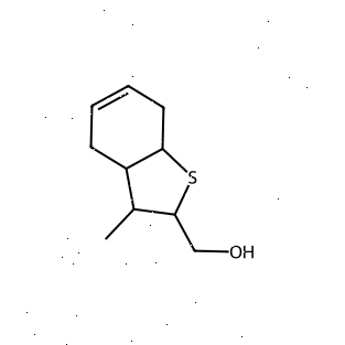 CC1C(CO)SC2CC=CCC21